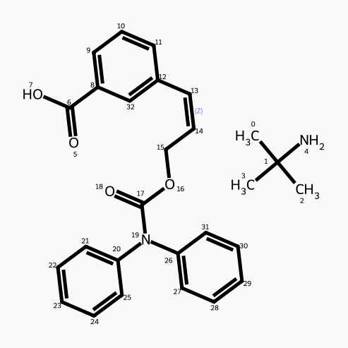 CC(C)(C)N.O=C(O)c1cccc(/C=C\COC(=O)N(c2ccccc2)c2ccccc2)c1